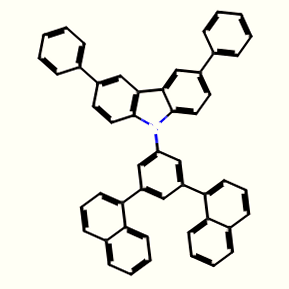 c1ccc(-c2ccc3c(c2)c2cc(-c4ccccc4)ccc2n3-c2cc(-c3cccc4ccccc34)cc(-c3cccc4ccccc34)c2)cc1